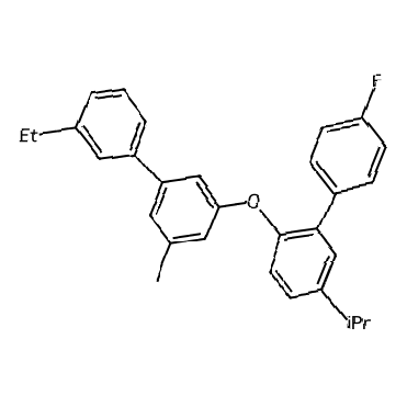 CCc1cccc(-c2cc(C)cc(Oc3ccc(C(C)C)cc3-c3ccc(F)cc3)c2)c1